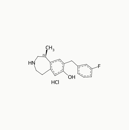 C[C@@H]1CNCCc2cc(O)c(Cc3cccc(F)c3)cc21.Cl